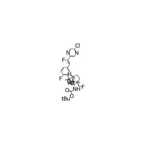 CC(C)(C)OC(=O)NC1=N[C@](C)(c2cc(/C=C(\F)c3cnc(Cl)cn3)ccc2F)[C@@H]2CC[C@@]1(CF)S2(=O)=O